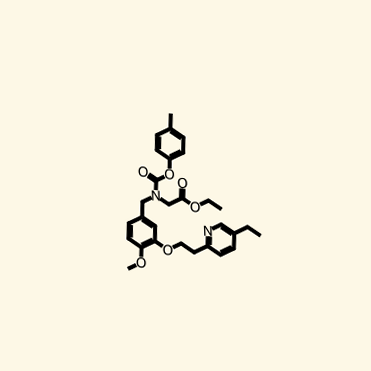 CCOC(=O)CN(Cc1ccc(OC)c(OCCc2ccc(CC)cn2)c1)C(=O)Oc1ccc(C)cc1